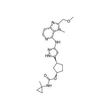 COCc1nc2ccnc(Nc3cc([C@H]4CC[C@@H](OC(=O)NC5(C)CC5)C4)[nH]n3)c2n1C